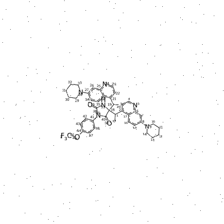 CC(c1ccnc2cc(N3CCCCC3)ccc12)C1(C(C)c2ccnc3cc(N4CCCCC4)ccc23)NC(=O)N(c2ccc(OC(F)(F)F)cc2)C1=O